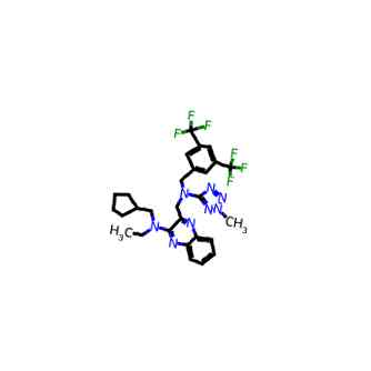 CCN(CC1CCCC1)c1nc2ccccc2nc1CN(Cc1cc(C(F)(F)F)cc(C(F)(F)F)c1)c1nnn(C)n1